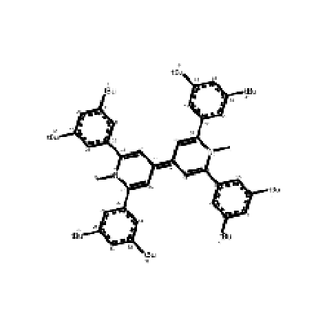 CN1C(c2cc(C(C)(C)C)cc(C(C)(C)C)c2)=CC(=C2C=C(c3cc(C(C)(C)C)cc(C(C)(C)C)c3)N(C)C(c3cc(C(C)(C)C)cc(C(C)(C)C)c3)=C2)C=C1c1cc(C(C)(C)C)cc(C(C)(C)C)c1